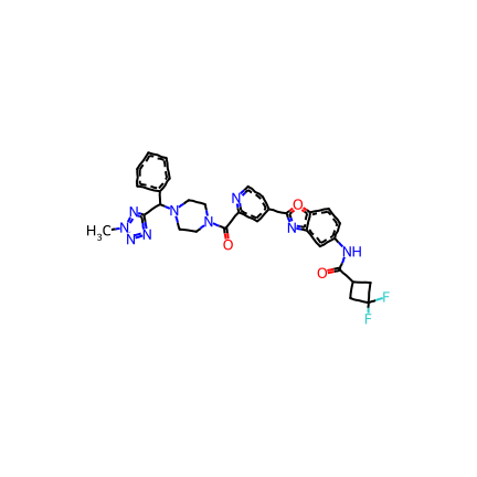 Cn1nnc(C(c2ccccc2)N2CCN(C(=O)c3cc(-c4nc5cc(NC(=O)C6CC(F)(F)C6)ccc5o4)ccn3)CC2)n1